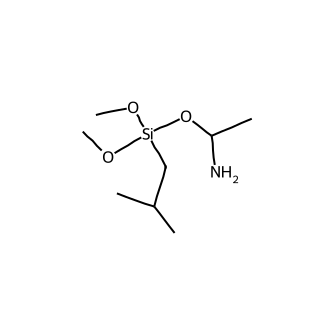 CO[Si](CC(C)C)(OC)OC(C)N